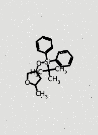 CC1C[C@H](O[Si](c2ccccc2)(c2ccccc2)C(C)(C)C)CO1